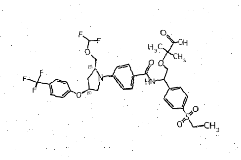 CCS(=O)(=O)c1ccc(C(COC(C)(C)C(=O)O)NC(=O)c2ccc(N3C[C@@H](Oc4ccc(C(F)(F)F)cc4)C[C@H]3COC(F)F)cc2)cc1